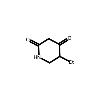 CCC1CNC(=O)CC1=O